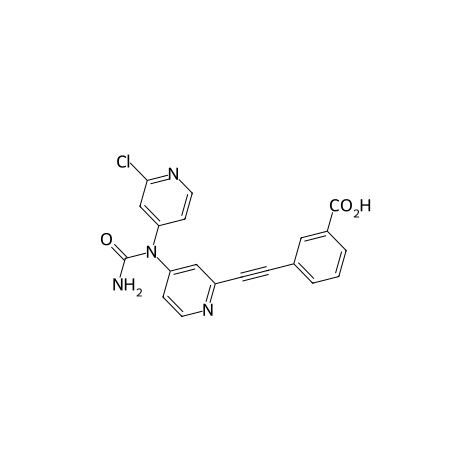 NC(=O)N(c1ccnc(Cl)c1)c1ccnc(C#Cc2cccc(C(=O)O)c2)c1